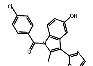 Cc1c(-c2ncco2)c2cc(O)ccc2n1C(=O)c1ccc(Cl)cc1